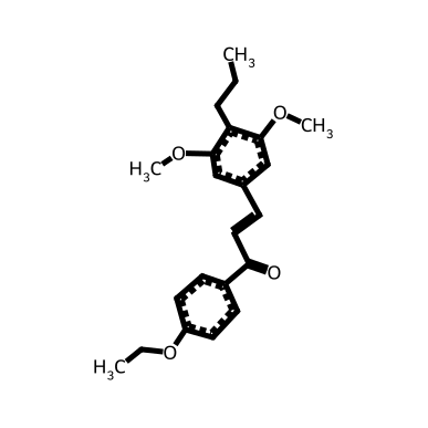 CCCc1c(OC)cc(C=CC(=O)c2ccc(OCC)cc2)cc1OC